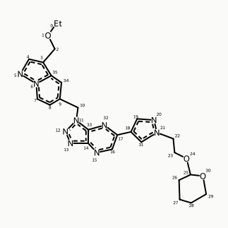 CCOCc1cnn2ccc(Cn3nnc4ncc(-c5cnn(CCOC6CCCCO6)c5)nc43)cc12